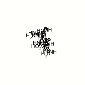 N=C(N)NCCC[C@H](NC(=O)[C@H](CCCNC(=N)N)NC(=O)[C@@H]1CCCN1)C(=O)NCC(=O)N1CCC[C@H]1C(=O)N[C@@H](CCCNC(=N)N)C(=O)N1CCC[C@H]1C(=O)O